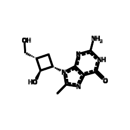 Cc1nc2c(=O)[nH]c(N)nc2n1[C@H]1C[C@@H](CO)[C@@H]1O